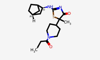 CCC(=O)N1CCC(C2(C)SC(N[C@H]3C[C@@H]4CCC3C4)=NC2=O)CC1